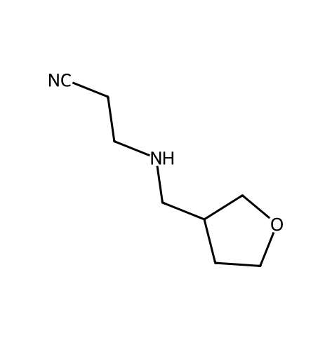 N#CCCNCC1CCOC1